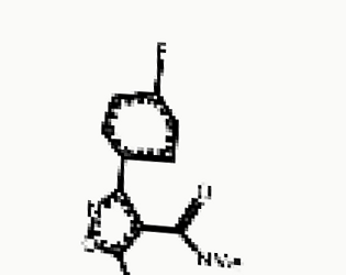 CNC(=O)c1c(-c2ccc(F)cc2)noc1C